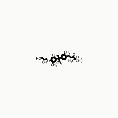 CCC(CC)(c1ccc(CCC(=O)C(C)(C)C)c(C)c1)c1ccc(OC[C@@H](O)CO)c(C)c1